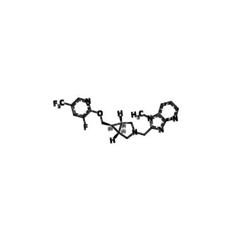 Cn1c(CN2C[C@@H]3[C@@H](COc4ncc(C(F)(F)F)cc4F)[C@@H]3C2)nc2ncccc21